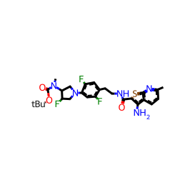 Cc1ccc2c(N)c(C(=O)NCCc3cc(F)c(N4CC(F)C(N(C)C(=O)OC(C)(C)C)C4)cc3F)sc2n1